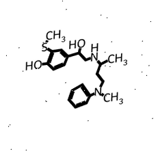 CSc1cc(C(O)CNC(C)CCN(C)c2ccccc2)ccc1O